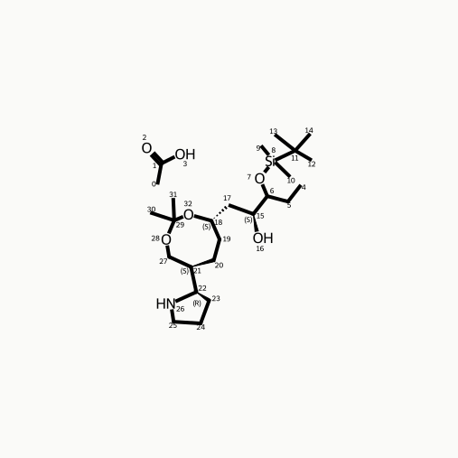 CC(=O)O.CCC(O[Si](C)(C)C(C)(C)C)[C@@H](O)C[C@@H]1CC[C@@H]([C@H]2CCCN2)COC(C)(C)O1